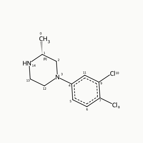 C[C@@H]1CN(c2ccc(Cl)c(Cl)c2)CCN1